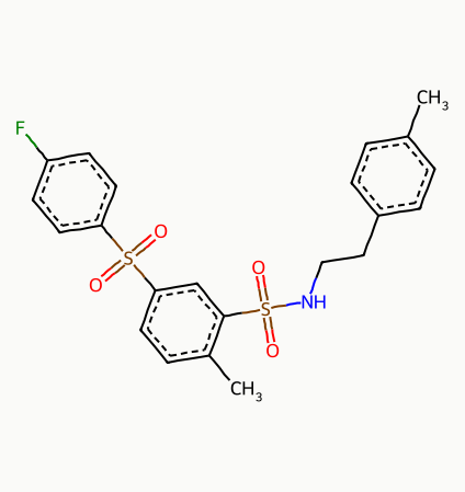 Cc1ccc(CCNS(=O)(=O)c2cc(S(=O)(=O)c3ccc(F)cc3)ccc2C)cc1